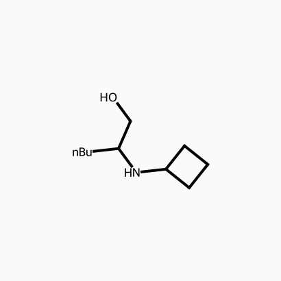 CCCCC(CO)NC1CCC1